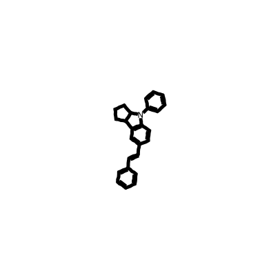 C(=Cc1ccc2c(c1)C1CCCC1N2c1ccccc1)c1ccccc1